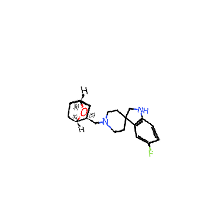 Fc1ccc2c(c1)C1(CCN(C[C@@H]3C[C@H]4CC[C@@H]3O4)CC1)CN2